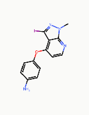 Cn1nc(I)c2c(Oc3ccc(N)cc3)ccnc21